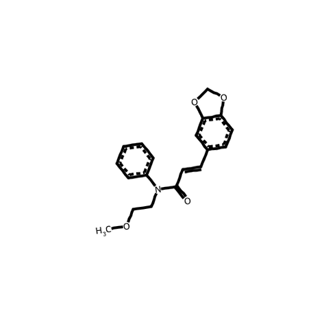 COCCN(C(=O)C=Cc1ccc2c(c1)OCO2)c1ccccc1